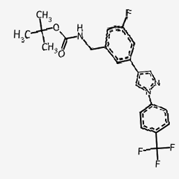 CC(C)(C)OC(=O)NCc1cc(F)cc(-c2cnn(-c3ccc(C(F)(F)F)cc3)c2)c1